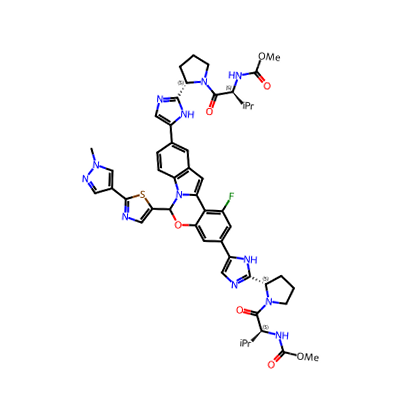 COC(=O)N[C@H](C(=O)N1CCC[C@H]1c1ncc(-c2cc(F)c3c(c2)OC(c2cnc(-c4cnn(C)c4)s2)n2c-3cc3cc(-c4cnc([C@@H]5CCCN5C(=O)[C@@H](NC(=O)OC)C(C)C)[nH]4)ccc32)[nH]1)C(C)C